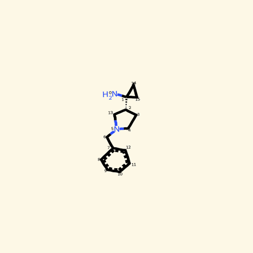 NC1([C@@H]2CCN(Cc3ccccc3)C2)CC1